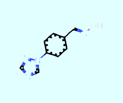 ON=Cc1ccc(-n2cncn2)cc1